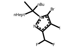 CCCCCCCC(C)(CCCC)n1nc(C(F)F)c(I)c1Br